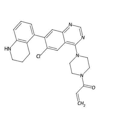 C=CC(=O)N1CCN(c2ncnc3cc(-c4cccc5c4CCCN5)c(Cl)cc23)CC1